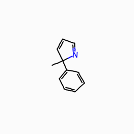 CC1(c2ccccc2)C=CC=N1